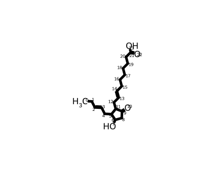 CCC=CCC1C(O)CC(=O)C1CC=CCCCCCCC(=O)O